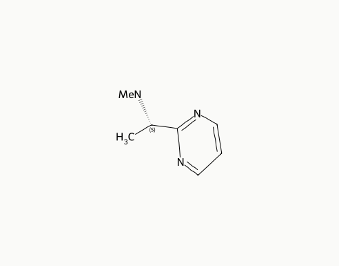 CN[C@@H](C)c1ncccn1